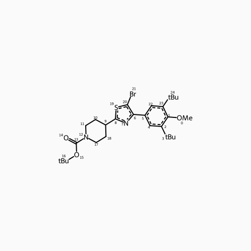 COc1c(C(C)(C)C)cc(-c2nc(C3CCN(C(=O)OC(C)(C)C)CC3)sc2Br)cc1C(C)(C)C